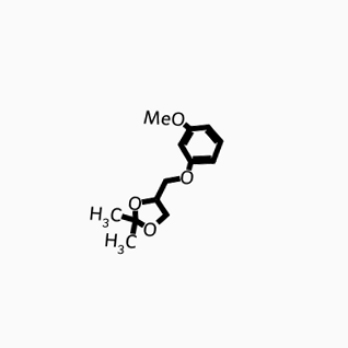 COc1cccc(OCC2COC(C)(C)O2)c1